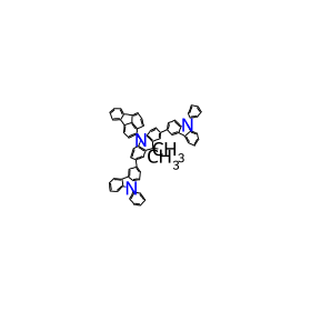 CC1(C)c2cc(-c3ccc4c(c3)c3ccccc3n4-c3ccccc3)ccc2N(c2ccc3c4c(cccc24)-c2ccccc2-3)c2ccc(-c3ccc4c(c3)c3ccccc3n4-c3ccccc3)cc21